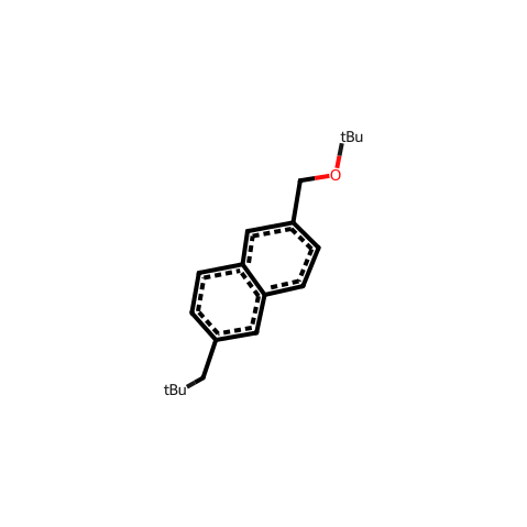 CC(C)(C)Cc1ccc2cc(COC(C)(C)C)ccc2c1